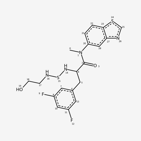 CN(C(=O)C(Cc1cc(F)cc(F)c1)NSNCCO)c1ccc2scnc2c1